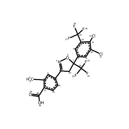 Cc1cc(C2=NOC(c3cc(Cl)c(Cl)c(C(F)(F)F)c3)(C(F)(F)F)C2)ccc1C(=O)O